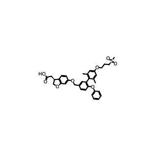 Cc1cc(OCCCS(C)(=O)=O)cc(C)c1-c1cc(COc2ccc3c(c2)OC[C@H]3CC(=O)O)ccc1Oc1ccccc1